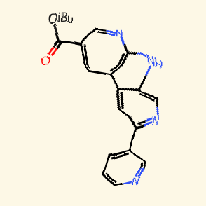 CC(C)COC(=O)c1cnc2[nH]c3cnc(-c4cccnc4)cc3c2c1